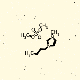 CCCCN1C=CN(C)C1.COS(=O)(=O)OC